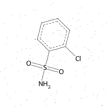 NS(=O)(=O)c1[c]cccc1Cl